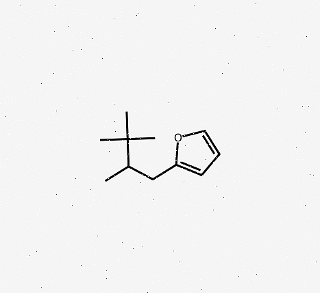 CC(Cc1ccco1)C(C)(C)C